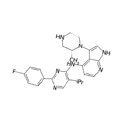 CC(C)c1cnc(-c2ccc(F)cc2)nc1Nc1ccnc2[nH]cc(N3CCNC[C@H]3C)c12